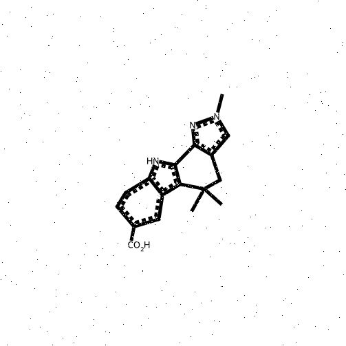 Cn1cc2c(n1)-c1[nH]c3ccc(C(=O)O)cc3c1C(C)(C)C2